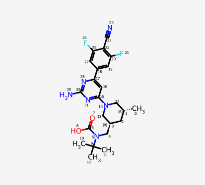 C[C@@H]1C[C@@H](CN(C(=O)O)C(C)(C)C)CN(c2cc(-c3cc(F)c(C#N)c(F)c3)nc(N)n2)C1